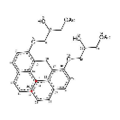 CC(=O)OCC(O)COc1ccc2ccccc2c1Cc1c(OCC(O)COC(C)=O)ccc2ccccc12